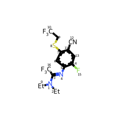 CCN(CC)/C(=N/c1cc(SCC(F)(F)F)c(C#N)cc1F)C(F)(F)F